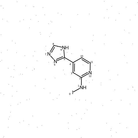 INc1cc(-c2nnc[nH]2)ccn1